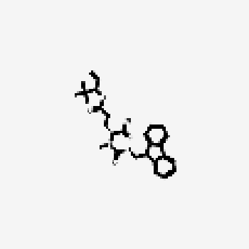 C=CC(OC(=O)CC[C@H](C(=O)O)N(C)C(=O)OCC1c2ccccc2-c2ccccc21)C(C)(C)C